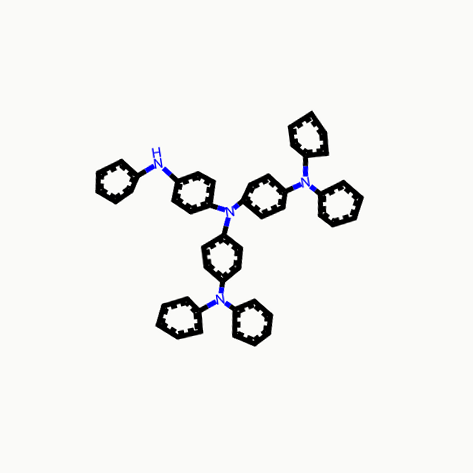 c1ccc(Nc2ccc(N(c3ccc(N(c4ccccc4)c4ccccc4)cc3)c3ccc(N(c4ccccc4)c4ccccc4)cc3)cc2)cc1